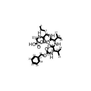 CCC[C@H](NC(=O)[C@@H](NC(=O)[C@@H](NC(=O)OCc1ccccc1)C(C)C)C(C)C)C(=O)N[C@@H](C)P(=O)(O)O